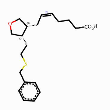 O=C(O)CCC/C=C\C[C@H]1COC[C@H]1CCSCc1ccccc1